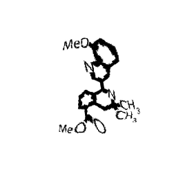 COC(=O)c1cccc2c1CC(C)(C)N=C2c1cnc2c(OC)cccc2c1